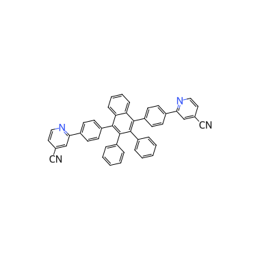 N#Cc1ccnc(-c2ccc(-c3c(-c4ccccc4)c(-c4ccccc4)c(-c4ccc(-c5cc(C#N)ccn5)cc4)c4ccccc34)cc2)c1